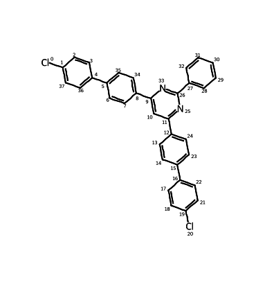 Clc1ccc(-c2ccc(-c3cc(-c4ccc(-c5ccc(Cl)cc5)cc4)nc(-c4ccccc4)n3)cc2)cc1